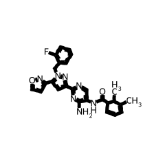 CC1=CC=CC(C(=O)Nc2cnc(-c3cc(-c4ccon4)n(Cc4ccccc4F)n3)nc2N)C1C